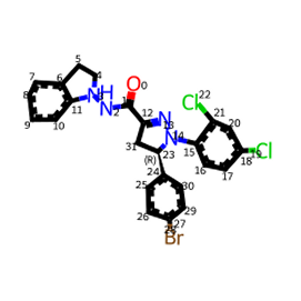 O=C(NN1CCc2ccccc21)C1=NN(c2ccc(Cl)cc2Cl)[C@@H](c2ccc(Br)cc2)C1